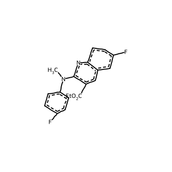 CCOC(=O)c1cc2cc(F)ccc2nc1N(C)c1ccc(F)cc1